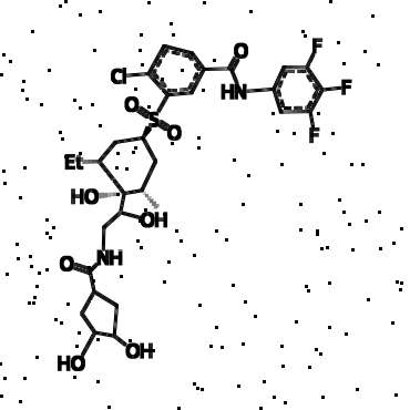 CCC1C[C@@H](S(=O)(=O)c2cc(C(=O)Nc3cc(F)c(F)c(F)c3)ccc2Cl)C[C@H](C)[C@@]1(O)C(O)CNC(=O)C1CC(O)C(O)C1